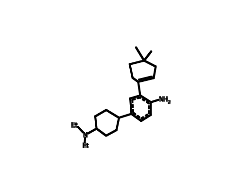 CCN(CC)C1CCC(c2ccc(N)c(C3=CCC(C)(C)CC3)c2)CC1